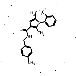 Cc1ccc(CNC(=O)c2cc(C)n(-c3ccccc3C(F)(F)F)c2C)cc1